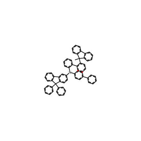 CC1(c2ccccc2-c2ccccc2N(c2ccc(-c3ccccc3)cc2)c2ccc3c(c2)-c2ccccc2C3(c2ccccc2)c2ccccc2)c2ccccc2-c2ccccc21